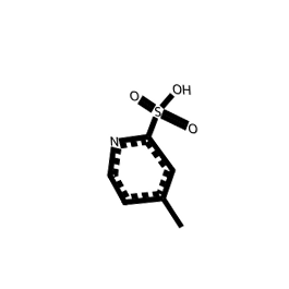 Cc1ccnc(S(=O)(=O)O)c1